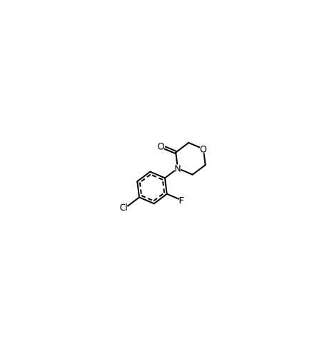 O=C1COCCN1c1ccc(Cl)cc1F